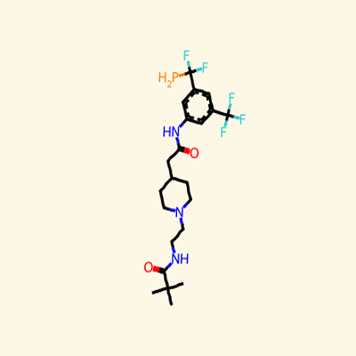 CC(C)(C)C(=O)NCCN1CCC(CC(=O)Nc2cc(C(F)(F)F)cc(C(F)(F)P)c2)CC1